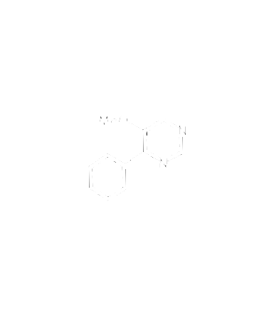 COc1cn[c]nc1-c1ccccc1